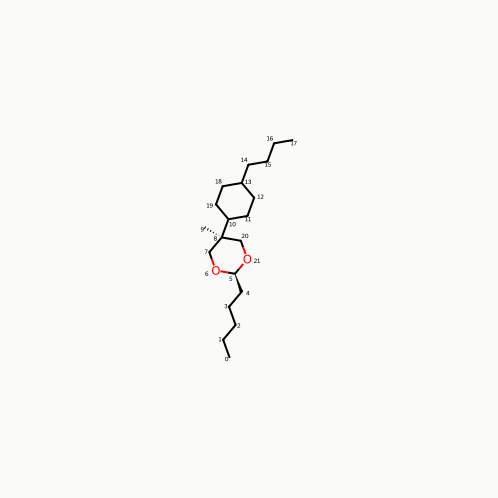 CCCCC[C@H]1OC[C@@](C)(C2CCC(CCCC)CC2)CO1